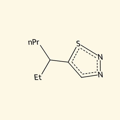 CCCC(CC)c1cnns1